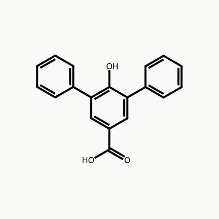 O=C(O)c1cc(-c2ccccc2)c(O)c(-c2ccccc2)c1